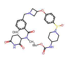 CN(C(=O)c1cc(CN2CC(Oc3ccc([S+]([O-])N4CCC(NC(=O)OC(C)(C)C)CC4)cc3)C2)ccc1C=O)C1CCC(=O)NC1=O